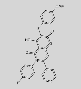 COc1ccc(Sc2c(O)c3c(=O)n(-c4ccc(F)cc4)c(-c4ccccc4)cc3oc2=O)cc1